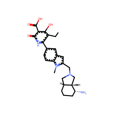 CCc1c(-c2ccc3c(c2)cc(CN2C[C@H]4CCC[C@@H](N)[C@H]4C2)n3C)[nH]c(=O)c(C(=O)O)c1O